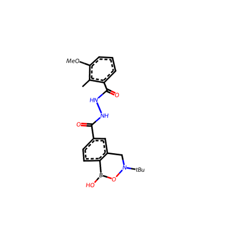 COc1cccc(C(=O)NNC(=O)c2ccc3c(c2)CN(C(C)(C)C)OB3O)c1C